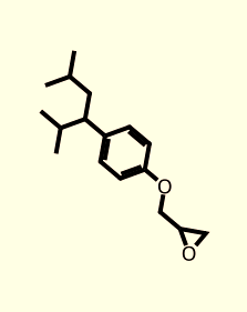 CC(C)CC(c1ccc(OCC2CO2)cc1)C(C)C